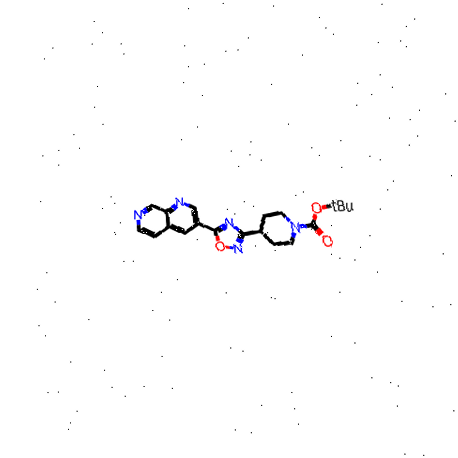 CC(C)(C)OC(=O)N1CCC(c2noc(-c3cnc4cnccc4c3)n2)CC1